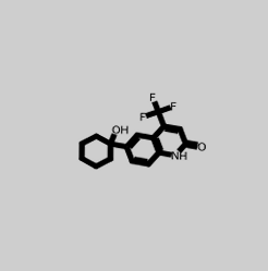 O=c1cc(C(F)(F)F)c2cc(C3(O)CCCCC3)ccc2[nH]1